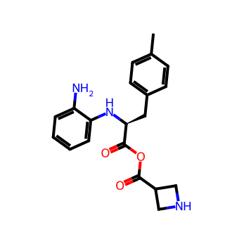 Cc1ccc(C[C@H](Nc2ccccc2N)C(=O)OC(=O)C2CNC2)cc1